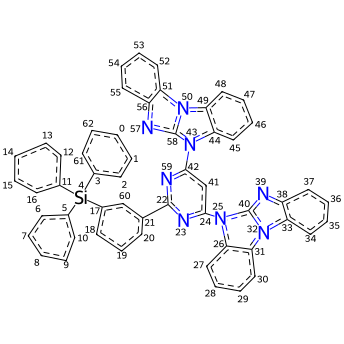 c1ccc([Si](c2ccccc2)(c2ccccc2)c2cccc(-c3nc(-n4c5ccccc5n5c6ccccc6nc45)cc(-n4c5ccccc5n5c6ccccc6nc45)n3)c2)cc1